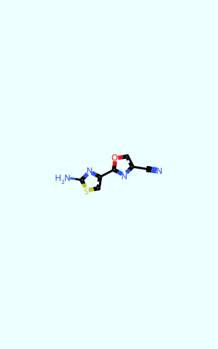 N#Cc1coc(-c2csc(N)n2)n1